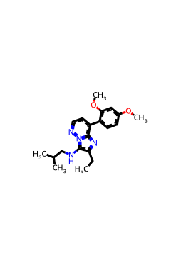 CCc1nc2c(-c3ccc(OC)cc3OC)ccnn2c1NCC(C)C